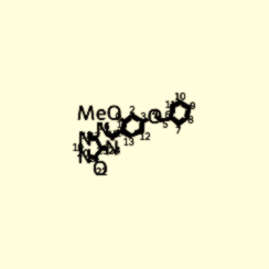 COc1cc(OCc2ccccc2)ccc1C1=NC2=NC=NC(=O)C2=N1